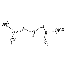 COC(=O)CON=C(C#N)C#N